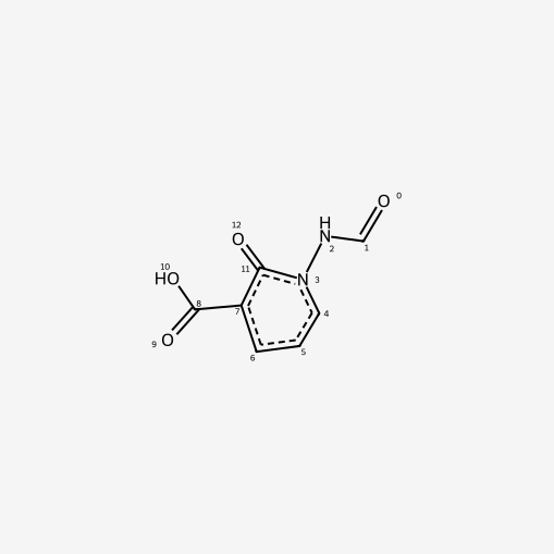 O=CNn1cccc(C(=O)O)c1=O